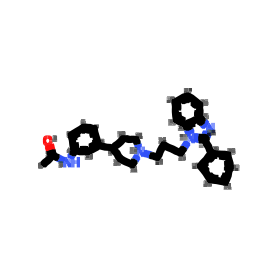 CC(=O)Nc1cccc(C2CCN(CCCn3c(-c4ccccc4)nc4ccccc43)CC2)c1